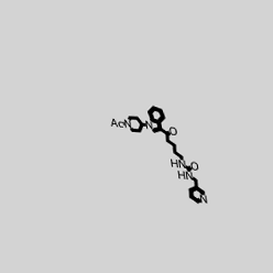 CC(=O)N1CCC(n2cc(C(=O)CCCCNC(=O)NCc3cccnc3)c3ccccc32)CC1